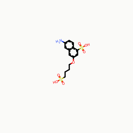 Nc1ccc2c(S(=O)(=O)O)cc(OCCCCS(=O)(=O)O)cc2c1